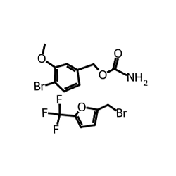 COc1cc(COC(N)=O)ccc1Br.FC(F)(F)c1ccc(CBr)o1